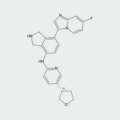 Fc1ccn2c(-c3ccc(Nc4ccc([C@@H]5CCOC5)cn4)c4c3CNC4)cnc2c1